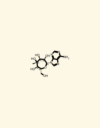 C[C@]1(O)[C@H](O)[C@@H](CO)O[C@@H](n2cnc3c(N)ncnc32)[C@H](O)[C@@H]1O